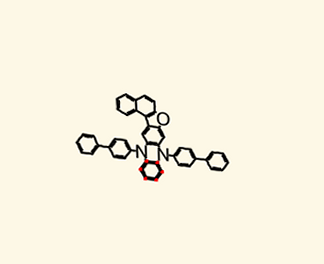 c1ccc(-c2ccc(N(c3ccccc3)c3cc4oc5ccc6ccccc6c5c4cc3N(c3ccccc3)c3ccc(-c4ccccc4)cc3)cc2)cc1